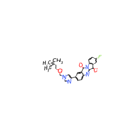 C[Si](C)(C)CCOCn1cnc(-c2ccc3nc4n(c(=O)c3c2)-c2ccc(F)cc2C4=O)c1